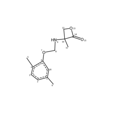 Cc1ccc(C)c(OCNC2(C)COC2=O)c1